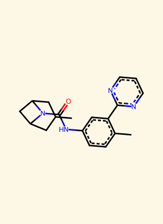 Cc1ccc(NC(=O)N2C3CC(C)CC2C3)cc1-c1ncccn1